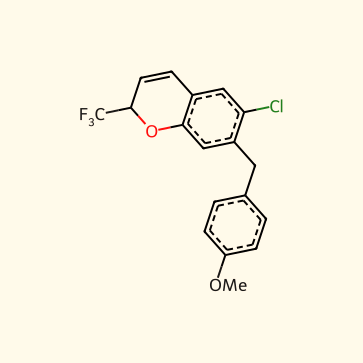 COc1ccc(Cc2cc3c(cc2Cl)C=CC(C(F)(F)F)O3)cc1